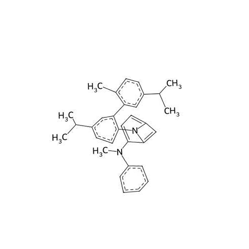 Cc1ccc(C(C)C)cc1-c1cc(C(C)C)ccc1N1C2=CC=C(N(C)c3ccccc3)C1=C2